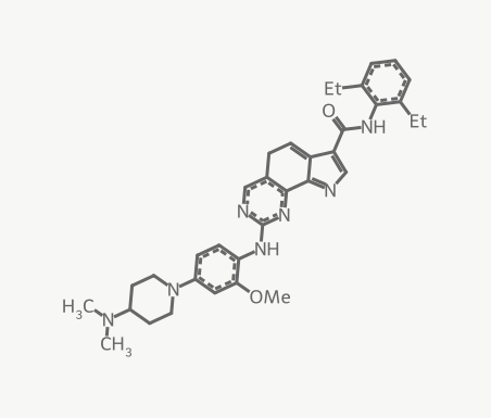 CCc1cccc(CC)c1NC(=O)C1=CN=C2C1=CCc1cnc(Nc3ccc(N4CCC(N(C)C)CC4)cc3OC)nc12